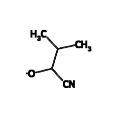 CC(C)C([O])C#N